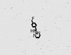 FCc1ccc(CNc2ncccn2)cc1